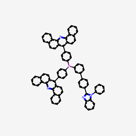 c1ccc(-n2c(-c3ccc(-c4cccc(P(c5ccc(-c6c7ccc8ccccc8c7nc7c6ccc6ccccc67)cc5)c5ccc(-c6c7ccc8ccccc8c7nc7c6ccc6ccccc67)cc5)c4)cc3)nc3ccccc32)cc1